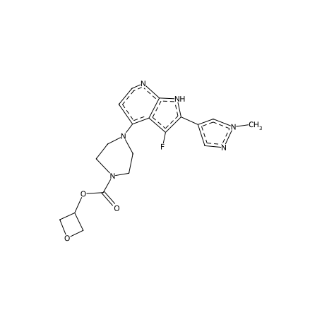 Cn1cc(-c2[nH]c3nccc(N4CCN(C(=O)OC5COC5)CC4)c3c2F)cn1